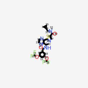 CC(NC(=O)c1cc(OC(F)F)cc(OC(F)F)c1)c1nccnc1-c1ncc(C(=O)N(C)CC2CC2)s1